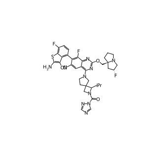 CC(C)C1N(C(=O)n2cncn2)CC12CCN(c1nc(OC[C@@]34CCCN3C[C@H](F)C4)nc3c(F)c(-c4ccc(F)c5sc(N)c(C#N)c45)c(Cl)cc13)C2